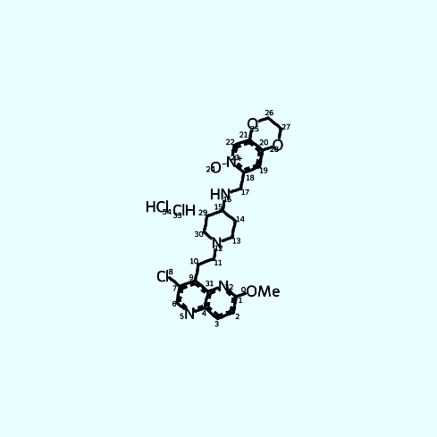 COc1ccc2ncc(Cl)c(CCN3CCC(NCc4cc5c(c[n+]4[O-])OCCO5)CC3)c2n1.Cl.Cl